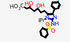 CC(C)n1c(NS(=O)(=O)c2ccccc2)nc(-c2ccc(F)cc2)c1CCC(O)CC(O)CC(=O)O